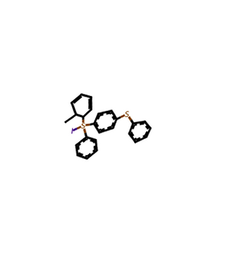 CC1C=CC=CC1S(I)(c1ccccc1)c1ccc(Sc2ccccc2)cc1